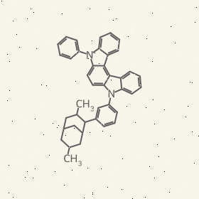 CC1CC2CC(C)C(c3cccc(-n4c5ccccc5c5c6c7ccccc7n(-c7ccccc7)c6ccc54)c3)C(C1)C2